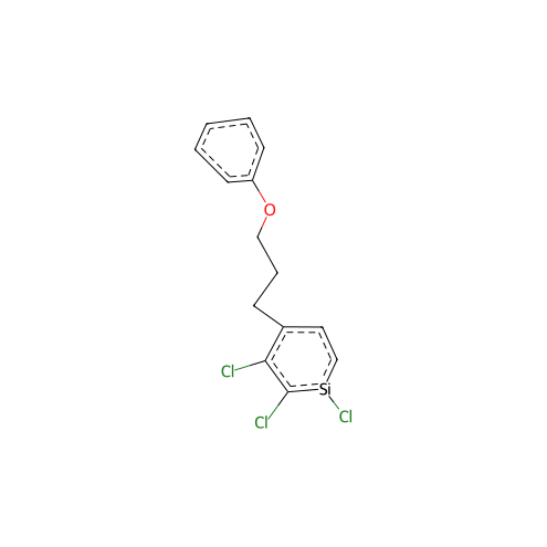 Clc1c(CCCOc2ccccc2)cc[si](Cl)c1Cl